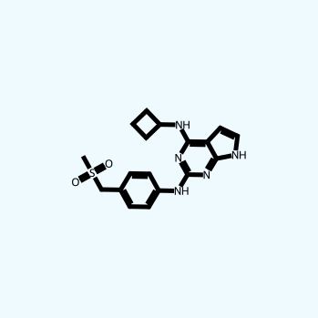 CS(=O)(=O)Cc1ccc(Nc2nc(NC3CCC3)c3cc[nH]c3n2)cc1